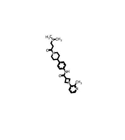 Cc1ncccc1N1CC(C(=O)Nc2ccc(C3CCN(C(=O)CCN(C)C)CC3)cc2)C1